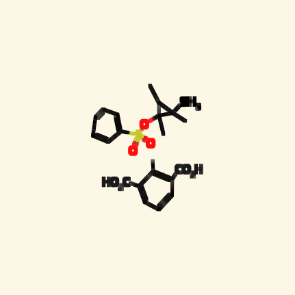 CC1C(C)([SiH3])C1(C)OS(=O)(=O)c1ccccc1.Cc1c(C(=O)O)cccc1C(=O)O